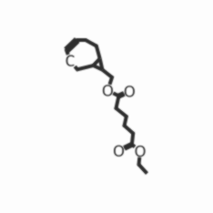 CCOC(=O)CCCCC(=O)OCC1C2CCC#CCCC21